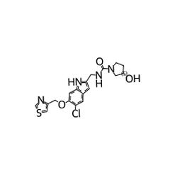 O=C(NCc1cc2cc(Cl)c(OCc3cscn3)cc2[nH]1)N1CC[C@H](O)C1